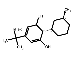 CCCCCCC(C)(C)C1=CC(O)C([C@H]2CCC[C@H](C)C2)C(O)=C1